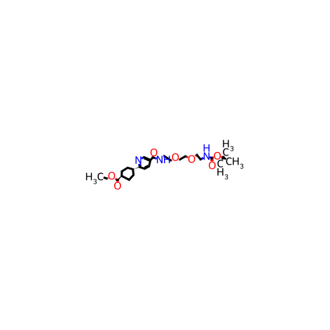 CCOC(=O)[C@H]1CC[C@H](c2ccc(C(=O)NCCOCCOCCNC(=O)OC(C)(C)C)cn2)CC1